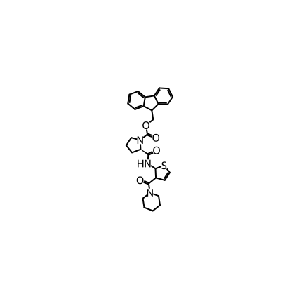 O=C(NC1SC=CC1C(=O)N1CCCCC1)[C@H]1CCCN1C(=O)OCC1c2ccccc2-c2ccccc21